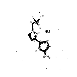 Cl.Nc1csc(-c2ccn(CC(F)(F)F)n2)n1